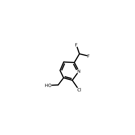 OCc1ccc(C(F)F)nc1Cl